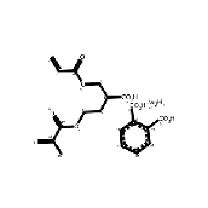 C=CC(=O)OCC(CCOC(=O)C(=C)C)C(=O)O.O=C(O)c1ccccc1C(=O)O.[MgH2]